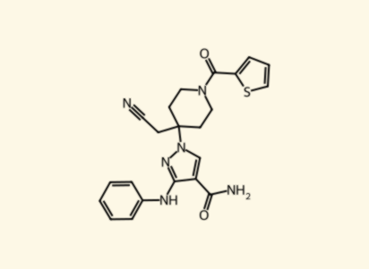 N#CCC1(n2cc(C(N)=O)c(Nc3ccccc3)n2)CCN(C(=O)c2cccs2)CC1